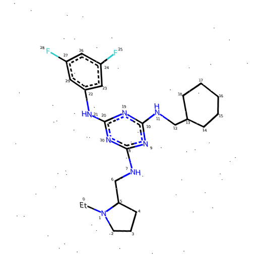 CCN1CCCC1CNc1nc(NCC2CCCCC2)nc(Nc2cc(F)[c]c(F)c2)n1